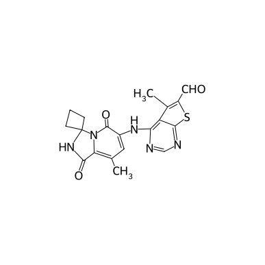 Cc1cc(Nc2ncnc3sc(C=O)c(C)c23)c(=O)n2c1C(=O)NC21CCC1